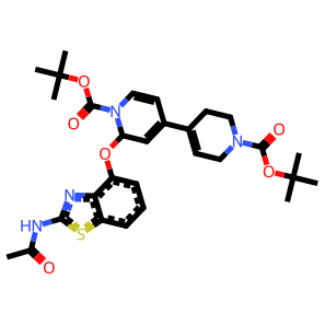 CC(=O)Nc1nc2c(OC3C=C(C4=CCN(C(=O)OC(C)(C)C)CC4)C=CN3C(=O)OC(C)(C)C)cccc2s1